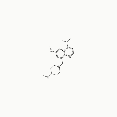 COc1cc(CN2CCC(OC)CC2)c2nccc(C(C)C)c2c1